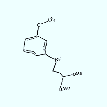 COC(CNc1cccc(OC(F)(F)F)c1)OC